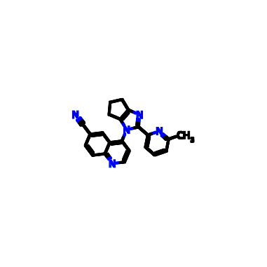 Cc1cccc(-c2nc3c(n2-c2ccnc4ccc(C#N)cc24)CCC3)n1